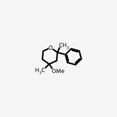 COC1(C)CCOC(C)(c2ccccc2)C1